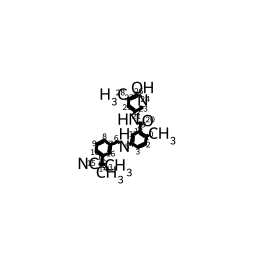 Cc1ccc(NCc2cccc(C(C)(C)C#N)c2)cc1C(=O)Nc1cnc(O)c(C)c1